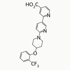 O=C(O)c1ccnc(-c2ccc(N3CCC(Oc4ccccc4C(F)(F)F)CC3)nc2)c1